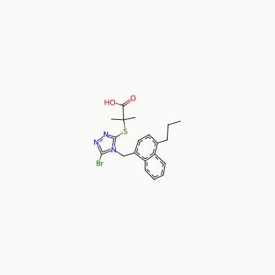 CCCc1ccc(Cn2c(Br)nnc2SC(C)(C)C(=O)O)c2ccccc12